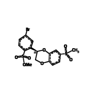 COS(=O)(=O)c1ccc(Br)cc1[C@@H]1COc2ccc(S(C)(=O)=O)cc2O1